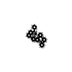 c1ccc(-c2nc(-n3c4cccc5c6cccc7c8ccccc8n(c8cccc3c8c54)c67)nc3c2ccc2cccc(-c4ccccc4)c23)cc1